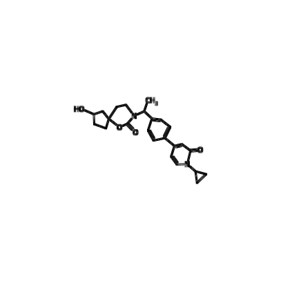 CC(c1ccc(-c2ccn(C3CC3)c(=O)c2)cc1)N1CCC2(CCC(O)C2)OC1=O